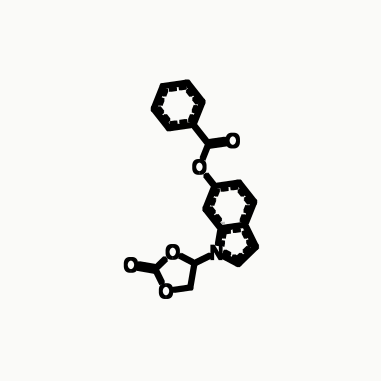 O=C1OCC(n2ccc3ccc(OC(=O)c4ccccc4)cc32)O1